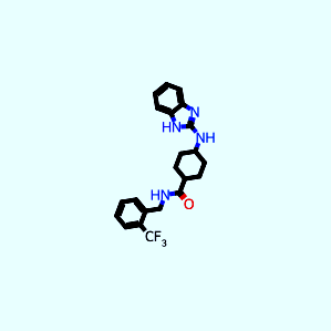 O=C(NCc1ccccc1C(F)(F)F)C1CCC(Nc2nc3ccccc3[nH]2)CC1